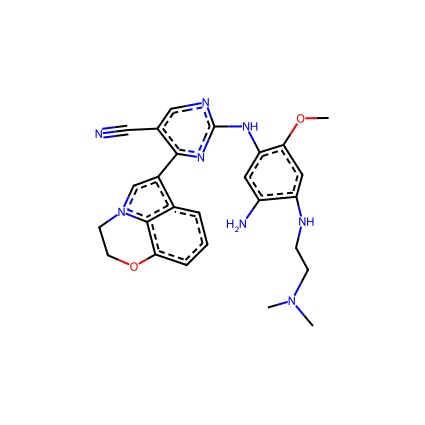 COc1cc(NCCN(C)C)c(N)cc1Nc1ncc(C#N)c(-c2cn3c4c(cccc24)OCC3)n1